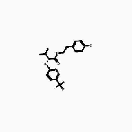 CC(C)[C@@H](Nc1ccc(C(F)(F)F)cc1)C(=O)NCCc1ccc(Cl)cc1